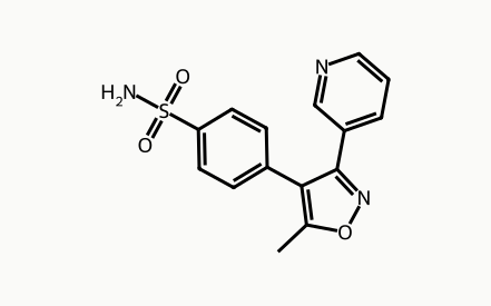 Cc1onc(-c2cccnc2)c1-c1ccc(S(N)(=O)=O)cc1